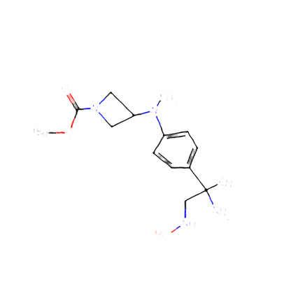 CN(c1ccc(C(C)(N)CNO)cc1)C1CN(C(=O)OC(C)(C)C)C1